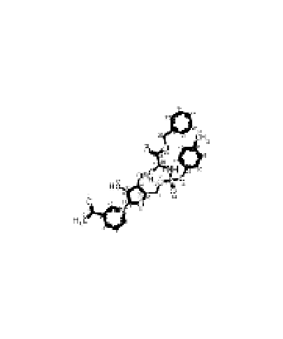 CC(=O)c1ccc[n+]([C@@H]2O[C@H](COP(=O)(N[C@@H](C)C(=O)OCc3ccccc3)Oc3ccc(C)cc3)C(O)[C@@H]2O)c1